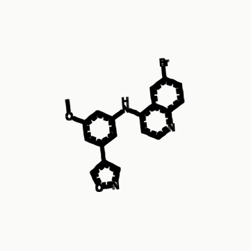 COc1cc(Nc2ccnc3ccc(Br)cc23)cc(-c2cnoc2)c1